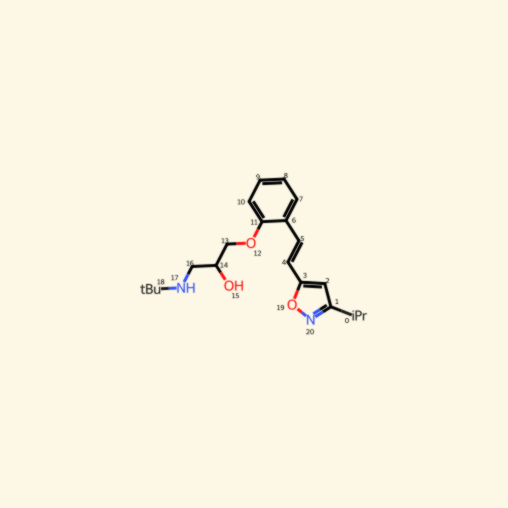 CC(C)c1cc(C=Cc2ccccc2OCC(O)CNC(C)(C)C)on1